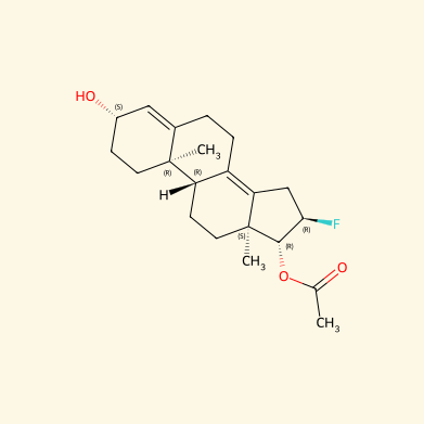 CC(=O)O[C@H]1[C@H](F)CC2=C3CCC4=C[C@@H](O)CC[C@]4(C)[C@H]3CC[C@@]21C